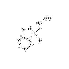 CCC(CC)(CNC(=O)O)c1ccccc1O